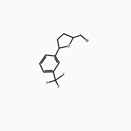 FC(F)(F)c1cccc(C2CCC(CBr)O2)c1